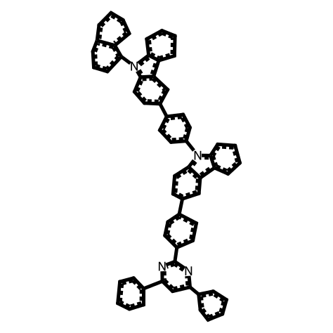 c1ccc(-c2cc(-c3ccccc3)nc(-c3ccc(-c4ccc5c(c4)c4ccccc4n5-c4ccc(-c5ccc6c(c5)c5ccccc5n6-c5cccc6ccccc56)cc4)cc3)n2)cc1